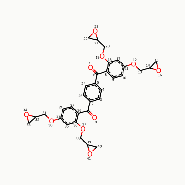 O=C(c1ccc(C(=O)c2ccc(OCC3CO3)cc2OCC2CO2)cc1)c1ccc(OCC2CO2)cc1OCC1CO1